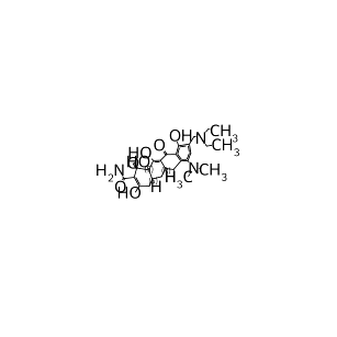 CCN(CC)Cc1cc(N(C)C)c2c(c1O)C(=O)C1=C(O)[C@]3(O)C(=O)C(C(N)=O)=C(O)C[C@@H]3C[C@@H]1C2